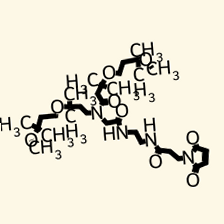 COC(C)(C)CCOC(C)(C)CCN(CC(=O)NCCNC(=O)CCN1C(=O)C=CC1=O)C(=O)CC(C)(C)OCCC(C)(C)OC